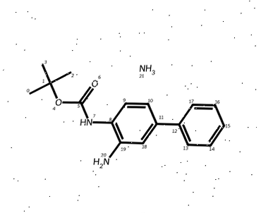 CC(C)(C)OC(=O)Nc1ccc(-c2ccccc2)cc1N.N